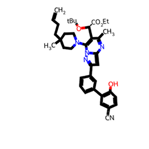 C=CCCC1(C)CCN(c2c([C@H](OC(C)(C)C)C(=O)OCC)c(C)nc3cc(-c4cccc(-c5cc(C#N)ccc5O)c4)nn23)CC1